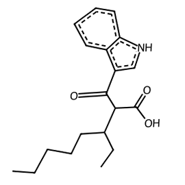 CCCCCC(CC)C(C(=O)O)C(=O)c1c[nH]c2ccccc12